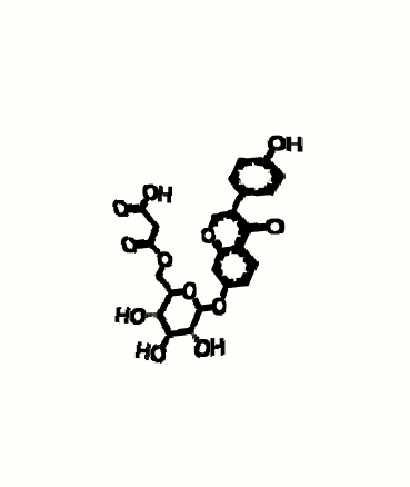 O=C(O)CC(=O)OC[C@H]1OC(Oc2ccc3c(=O)c(-c4ccc(O)cc4)coc3c2)[C@H](O)[C@@H](O)[C@@H]1O